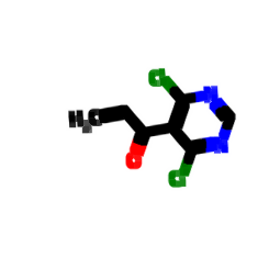 C=CC(=O)c1c(Cl)ncnc1Cl